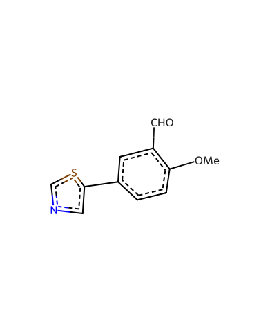 COc1ccc(-c2cncs2)cc1C=O